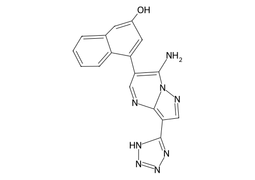 Nc1c(-c2cc(O)cc3ccccc23)cnc2c(-c3nnn[nH]3)cnn12